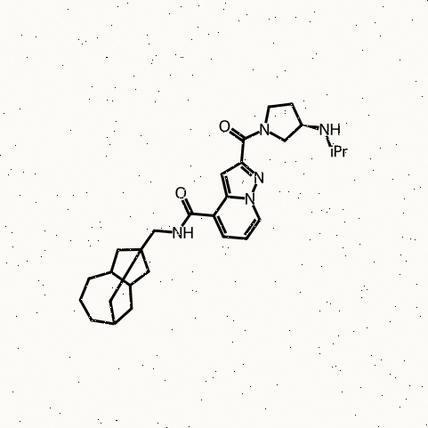 CC(C)N[C@@H]1CCN(C(=O)c2cc3c(C(=O)NCC45CC6CCCC(C4)C(C6)C5)cccn3n2)C1